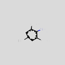 Nc1c(C=O)cc(C=O)cc1C=O